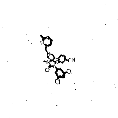 Cc1cccc(CN2C[C@@H](c3ccc(C#N)cc3)[C@]3(C2)C(=O)N(c2cc(Cl)cc(Cl)c2)C(=O)N3C)n1